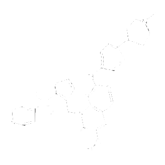 CCOc1cc2cnc(Nc3ccc(C4CCN(C)CC4)cc3)nc2n(Cc2ccsc2S(=O)(=O)c2ccncc2)c1=O